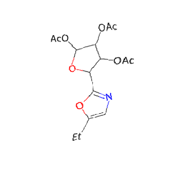 CCc1cnc(C2OC(OC(C)=O)C(OC(C)=O)C2OC(C)=O)o1